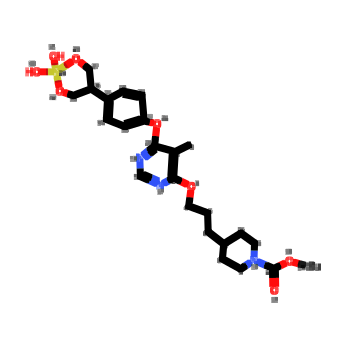 Cc1c(OCCCC2CCN(C(=O)OC(C)(C)C)CC2)ncnc1Oc1ccc(C2COS(O)(O)OC2)cc1